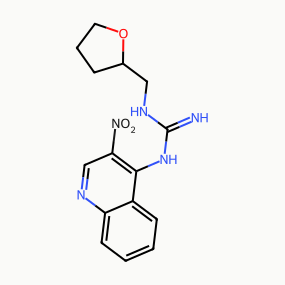 N=C(NCC1CCCO1)Nc1c([N+](=O)[O-])cnc2ccccc12